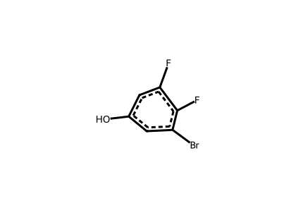 Oc1cc(F)c(F)c(Br)c1